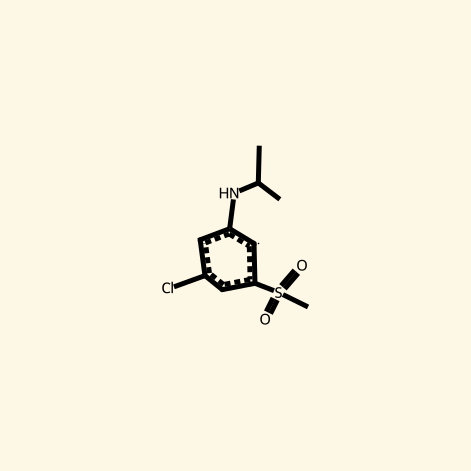 CC(C)Nc1[c]c(S(C)(=O)=O)cc(Cl)c1